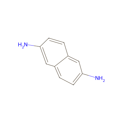 Nc1ccc2cc(N)ccc2c1